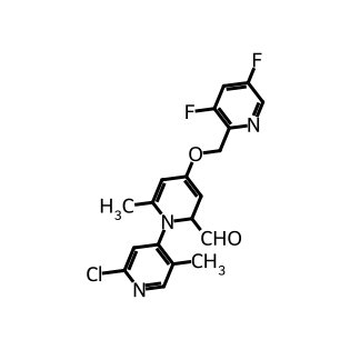 CC1=CC(OCc2ncc(F)cc2F)=CC(C=O)N1c1cc(Cl)ncc1C